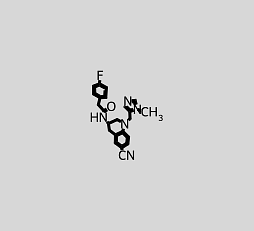 Cn1cncc1CN1CC(NC(=O)Cc2ccc(F)cc2)Cc2cc(C#N)ccc21